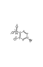 O=[SH](=O)c1ccc(Br)cc1Cl